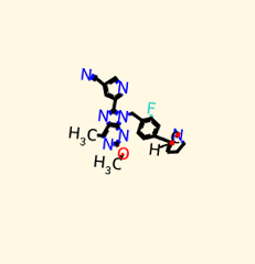 COc1nc(C)c2nc(-c3cncc(C#N)c3)n(Cc3ccc([C@H]4CN5CCC4CC5)cc3F)c2n1